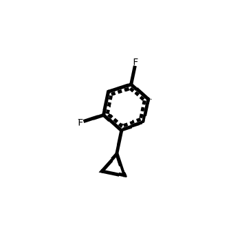 Fc1[c]cc(C2CC2)c(F)c1